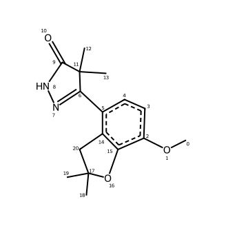 COc1ccc(C2=NNC(=O)C2(C)C)c2c1OC(C)(C)C2